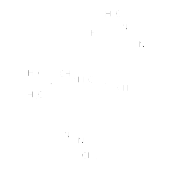 Cn1cc2c(CC(C)(C)c3cc(F)c4c(c3)ncn4C)cc(C(C)(C)C)cc2n1